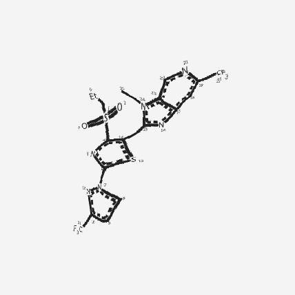 CCS(=O)(=O)c1nc(-n2ccc(C(F)(F)F)n2)sc1-c1nc2cc(C(F)(F)F)ncc2n1C